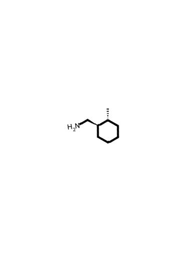 C[C@@H]1CCCC[C@H]1CN